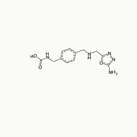 Nc1nnc(CNCc2ccc(CNC(=O)O)cc2)o1